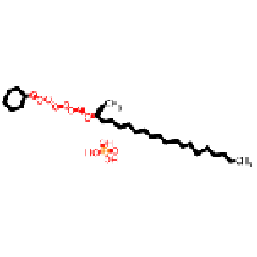 CC=C(CCCCCCCCCCCCCCCCCC)OOOOOOOOC1CCCCC1.O=P(O)(O)O